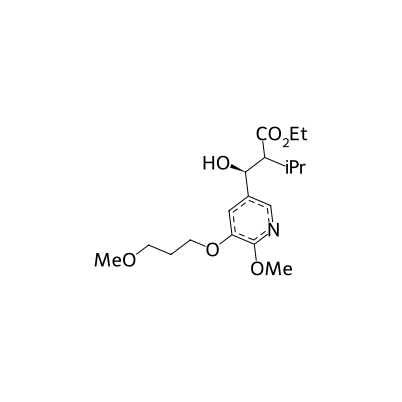 CCOC(=O)C(C(C)C)[C@H](O)c1cnc(OC)c(OCCCOC)c1